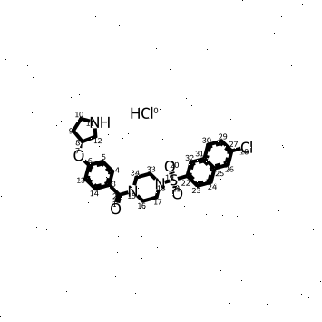 Cl.O=C(c1ccc(O[C@@H]2CCNC2)cc1)N1CCN(S(=O)(=O)c2ccc3cc(Cl)ccc3c2)CC1